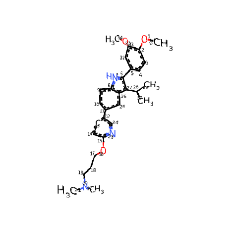 COc1ccc(-c2[nH]c3ccc(-c4ccc(OCCCN(C)C)nc4)cc3c2C(C)C)cc1OC